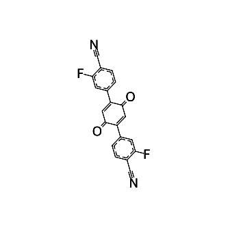 N#Cc1ccc(C2=CC(=O)C(c3ccc(C#N)c(F)c3)=CC2=O)cc1F